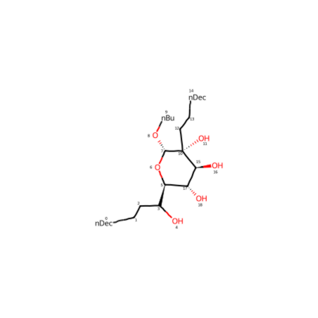 CCCCCCCCCCCCC(O)[C@H]1O[C@H](OCCCC)[C@@](O)(CCCCCCCCCCCC)[C@@H](O)[C@@H]1O